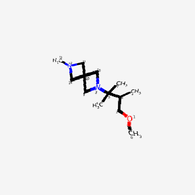 COCC(C)C(C)(C)N1CC2(CN(C)C2)C1